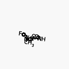 Cc1nn(Cc2ccc(F)cc2)c2c1CCN(C(=O)CC1CNCCO1)C2